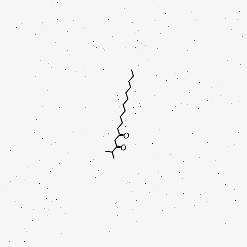 CCCCCCCCCCCC(=O)CC(=O)C(C)C